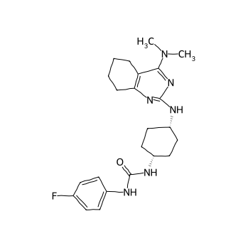 CN(C)c1nc(N[C@H]2CC[C@@H](NC(=O)Nc3ccc(F)cc3)CC2)nc2c1CCCC2